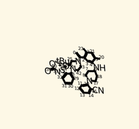 C=C(c1cc(NC2CCN(c3ccccc3C#N)CC2)c(C)cc1C)N1CCN(c2ccccc2S(C)(=O)=NC(=O)OC(C)(C)C)CC1